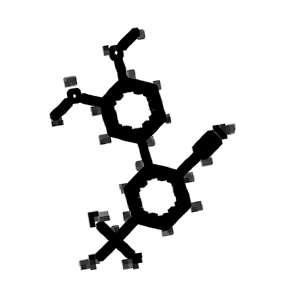 COc1ccc(-c2cc(C(F)(F)F)ccc2C#N)cc1OC